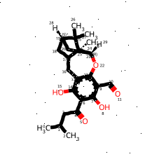 CC(C)CC(=O)c1c(O)c(C=O)c2c(c1O)CC1C[C@H]3C[C@@H](O2)[C@]1(C)C3(C)C